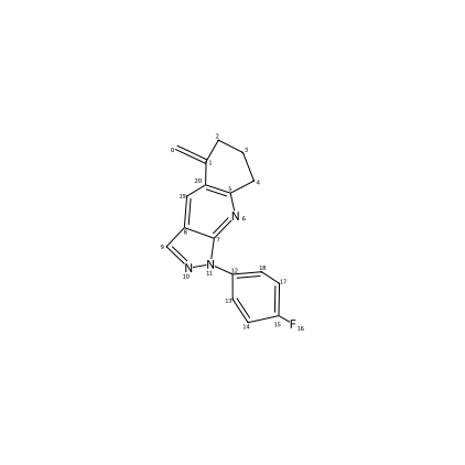 C=C1CCCc2nc3c(cnn3-c3ccc(F)cc3)cc21